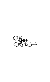 O=C(NS(=O)(=O)c1ccccc1-c1ccccc1)c1cc2ccc(C3CC3)cc2o1